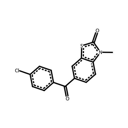 Cn1c(=O)sc2cc(C(=O)c3ccc(Cl)cc3)ccc21